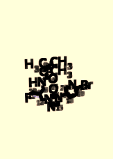 CC(C)(C)OC(=O)NC/C(=C/F)Cn1ncn(-c2ccc(Br)nc2)c1=O